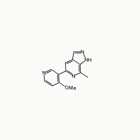 COc1ccncc1-c1cc2cn[nH]c2c(C)n1